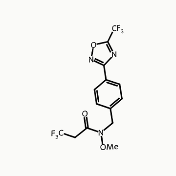 CON(Cc1ccc(-c2noc(C(F)(F)F)n2)cc1)C(=O)CC(F)(F)F